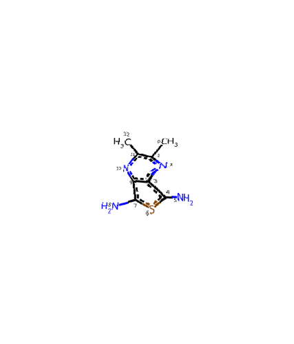 Cc1nc2c(N)sc(N)c2nc1C